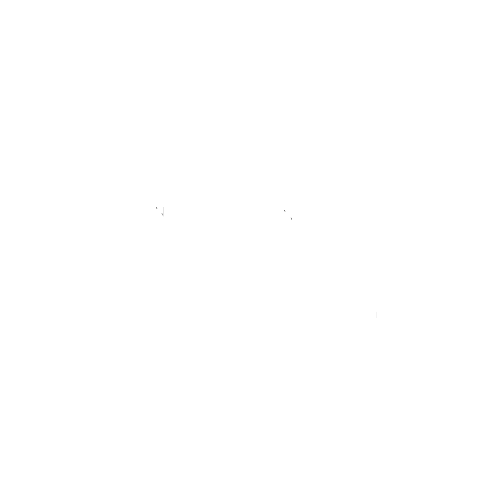 c1ccc([SiH](c2ccccc2)c2cccc(-n3c4ccccc4c4c3ccc3cc5c6ccccc6c6ccccc6n5c34)c2)cc1